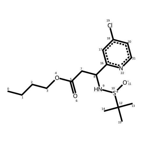 CCCCOC(=O)CC(N[S+]([O-])C(C)(C)C)c1cc(Cl)ccn1